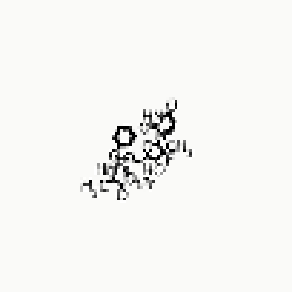 CC(C)OC(=O)[C@@H](C)N[P@](=S)(OC[C@H]1O[C@@H](n2ccc(=O)[nH]c2=O)[C@](C)(F)[C@@H]1O)Oc1ccccc1